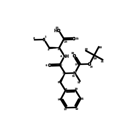 CSC[C@H](NC(=O)[C@H](Cc1ccccc1)N(C)C(=O)OC(C)(C)C)C(=O)O